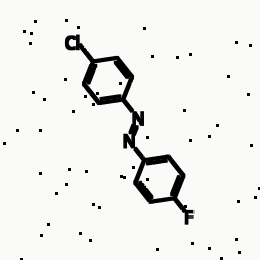 Fc1ccc(N=Nc2ccc(Cl)cc2)cc1